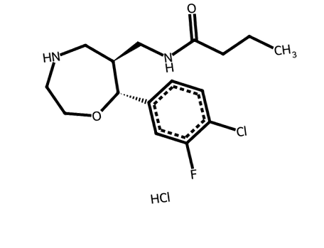 CCCC(=O)NC[C@@H]1CNCCO[C@H]1c1ccc(Cl)c(F)c1.Cl